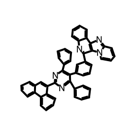 c1ccc(-c2nc(-c3cc4ccccc4c4ccccc34)nc(-c3ccccc3)c2-c2cccc(-c3nc4ccccc4c4nc5ccccn5c34)c2)cc1